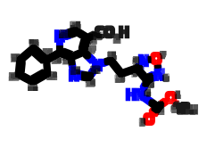 CC(C)(C)OC(=O)Nc1nonc1CCn1cnc2c(-c3ccccc3)ncc(C(=O)O)c21